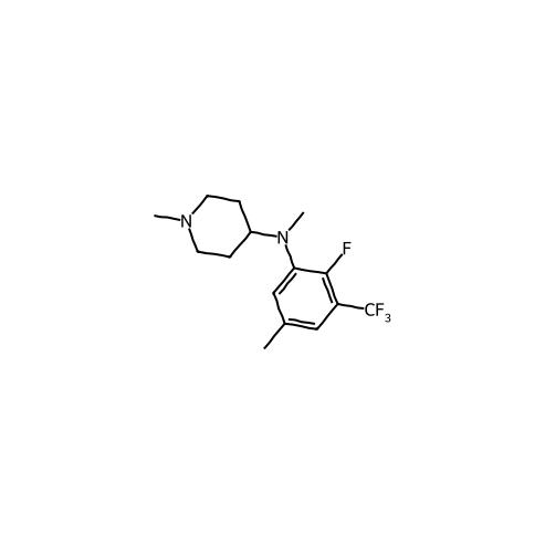 Cc1cc(N(C)C2CCN(C)CC2)c(F)c(C(F)(F)F)c1